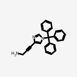 NCC#Cc1cn(C(c2ccccc2)(c2ccccc2)c2ccccc2)cn1